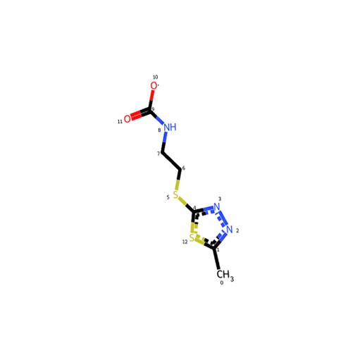 Cc1nnc(SCCNC([O])=O)s1